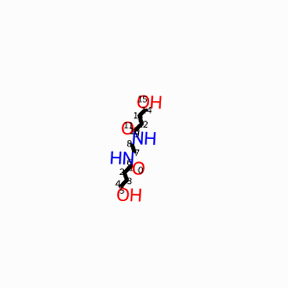 O=C(CCCO)NCCNC(=O)CCCO